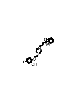 CC(C)C(C#N)(CCCN1CCN(CCOc2ccc(F)cc2O)CC1)c1ccccc1